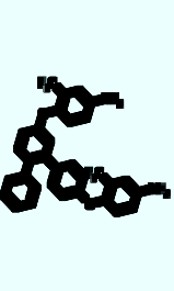 Nc1ccc(Oc2ccc(-c3cc(Oc4ccc(N)cc4C(F)(F)F)ccc3-c3ccccc3)cc2)c(C(F)(F)F)c1